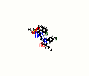 CC(C)(C)OCC(NS(C)(=O)=O)c1nc(Cn2nc(-c3ccc(Cl)cc3)n(C[C@H](O)C(F)(F)F)c2=O)nn1-c1ccccc1Cl